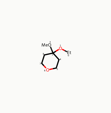 CCOC1(OC)CCOCC1